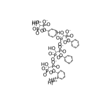 O=P([O-])([O-])C(O)P(=O)([O-])Oc1ccccc1.O=P([O-])([O-])C(O)P(=O)([O-])Oc1ccccc1.O=P([O-])([O-])C(O)P(=O)([O-])Oc1ccccc1.O=P([O-])([O-])C(O)P(=O)([O-])Oc1ccccc1.[Hf+4].[Hf+4].[Hf+4]